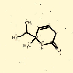 CC(C)C1(C)C=CCC(=O)N1